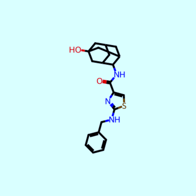 O=C(NC1C2CC3CC1CC(O)(C3)C2)c1csc(NCc2ccccc2)n1